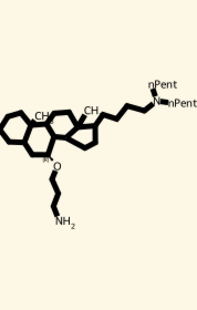 CCCCCN(CCCCC)CCCCC1CCC2C3C(CCC12C)C1(C)CCCCC1C[C@H]3OCCCN